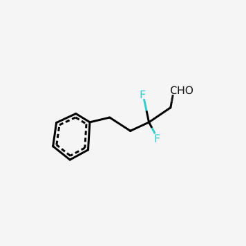 O=CCC(F)(F)CCc1ccccc1